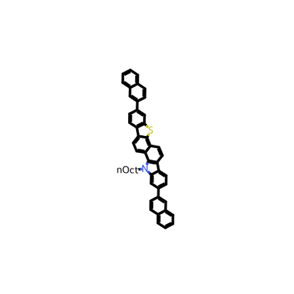 CCCCCCCCn1c2cc(-c3ccc4ccccc4c3)ccc2c2ccc3c(ccc4c5ccc(-c6ccc7ccccc7c6)cc5sc43)c21